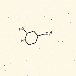 O=C(O)C1CCNC(O)C1